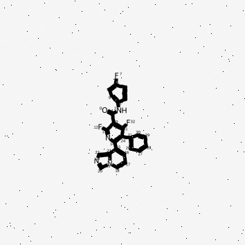 O=C(Nc1ccc(F)cc1)c1c(F)nc(-c2cccn3cncc23)c(-c2ccccc2)c1F